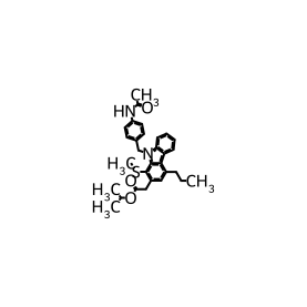 CCCc1cc(CC(=O)OC(C)C)c(SC)c2c1c1ccccc1n2Cc1ccc(NC(C)=O)cc1